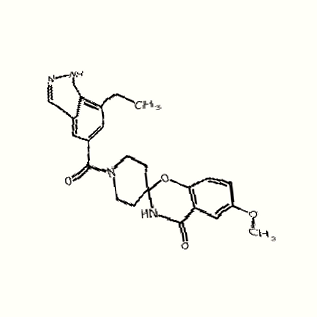 CCc1cc(C(=O)N2CCC3(CC2)NC(=O)c2cc(OC)ccc2O3)cc2cn[nH]c12